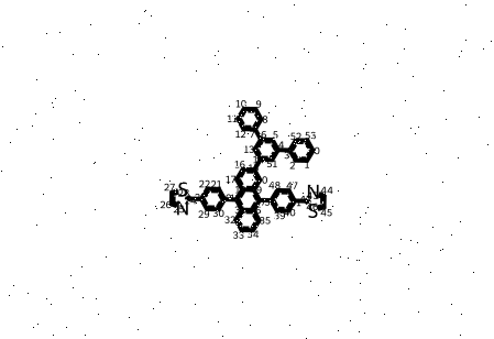 c1ccc(-c2cc(-c3ccccc3)cc(-c3ccc4c(-c5ccc(-c6nccs6)cc5)c5ccccc5c(-c5ccc(-c6nccs6)cc5)c4c3)c2)cc1